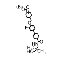 CC(C)(CO)CNC(=O)C1CC=C(c2ccc(OCC3CCN(C(=O)OC(C)(C)C)CC3)c(F)c2)CC1